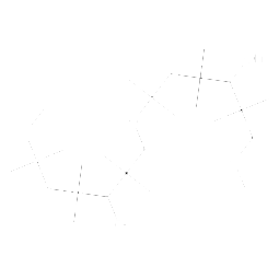 COCC(C)(C)C(O)C(C)(C)CC(C)(C)OCC(C)(C)C(O)C(C)(C)CC(C)(C)OC